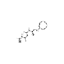 CPNC(C)CC(C)NC(=O)COC1/C=C\CCCCC1